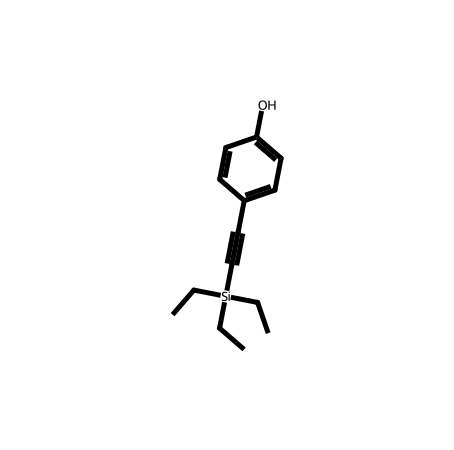 CC[Si](C#Cc1ccc(O)cc1)(CC)CC